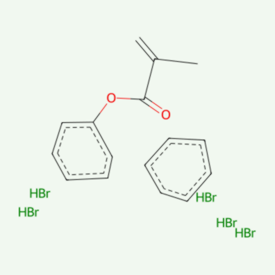 Br.Br.Br.Br.Br.C=C(C)C(=O)Oc1ccccc1.c1ccccc1